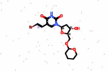 O=c1[nH]c(=O)n([C@H]2C[C@H](O)[C@@H](COC3CCCCO3)O2)cc1/C=C/Br